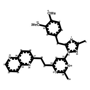 COc1ccc(Cc2nc(C)nn2-c2cc(CCc3ccc4ncccc4n3)nc(C)n2)cc1OC